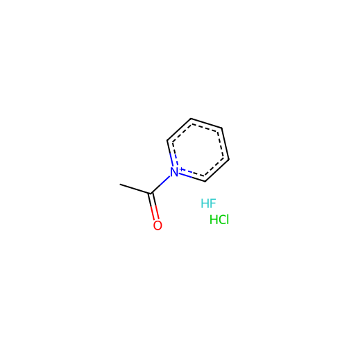 CC(=O)[n+]1ccccc1.Cl.F